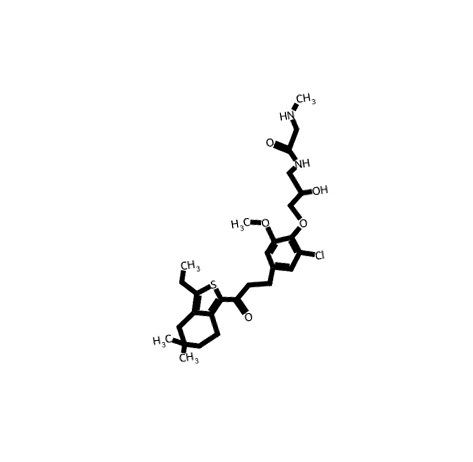 CCc1sc(C(=O)CCc2cc(Cl)c(OCC(O)CNC(=O)CNC)c(OC)c2)c2c1CC(C)(C)CC2